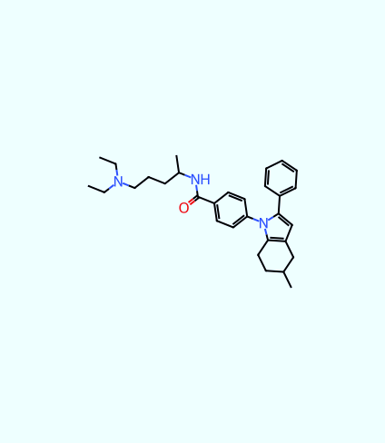 CCN(CC)CCCC(C)NC(=O)c1ccc(-n2c(-c3ccccc3)cc3c2CCC(C)C3)cc1